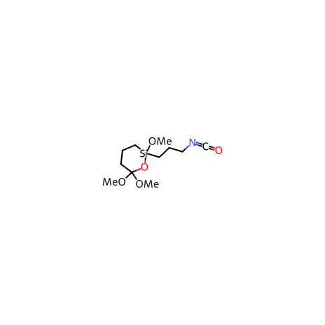 COC1(OC)CCC[Si](CCCN=C=O)(OC)O1